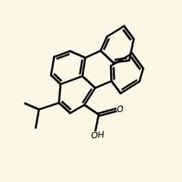 CC(C)c1cc(C(=O)O)c(-c2ccccc2)c2c(-c3ccccc3)cccc12